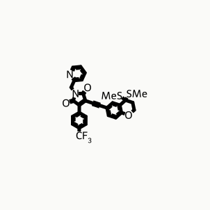 CSC1(SC)CCOc2ccc(C#CC3=C(c4ccc(C(F)(F)F)cc4)C(=O)N(Cc4ccccn4)C3=O)cc21